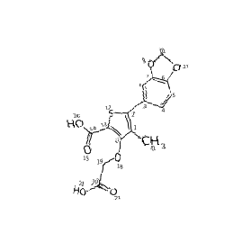 Cc1c(-c2ccc3c(c2)OCO3)sc(C(=O)O)c1OCC(=O)O